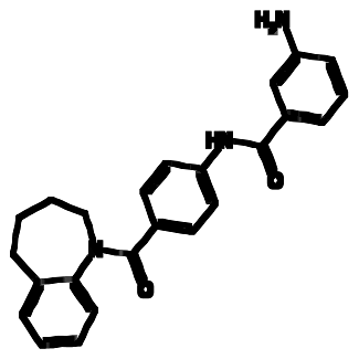 Nc1cccc(C(=O)Nc2ccc(C(=O)N3CCCCc4ccccc43)cc2)c1